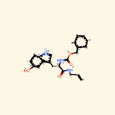 C=CCNC(=O)[C@H](Cc1c[nH]c2ccc(O)cc12)NC(=O)OCc1ccccc1